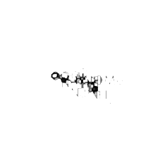 CON=C(C(=O)N[C@@H]1C(=O)N2C(C(=O)[O-])=C(CSc3ncc(-c4ccccc4)o3)CS[C@@H]12)c1csc(N)n1.[Na+]